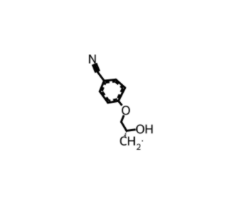 [CH2][C@@H](O)COc1ccc(C#N)cc1